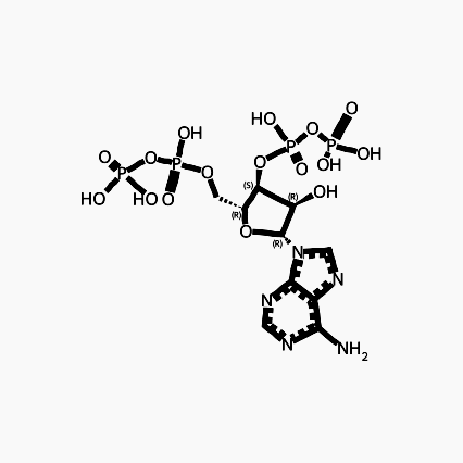 Nc1ncnc2c1ncn2[C@@H]1O[C@H](COP(=O)(O)OP(=O)(O)O)[C@@H](OP(=O)(O)OP(=O)(O)O)[C@H]1O